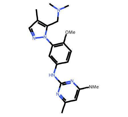 CNc1cc(C)nc(Nc2ccc(OC)c(-n3ncc(C)c3CN(C)C)c2)n1